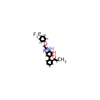 C/C=C(\O)c1ccccc1-c1ccc2[nH]c(COc3ccc(C(F)(F)F)cc3)nc2c1